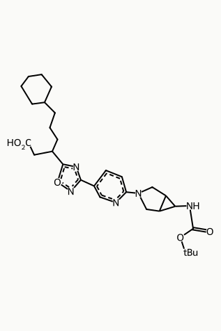 CC(C)(C)OC(=O)NC1C2CN(c3ccc(-c4noc(C(CCCC5CCCCC5)CC(=O)O)n4)cn3)CC21